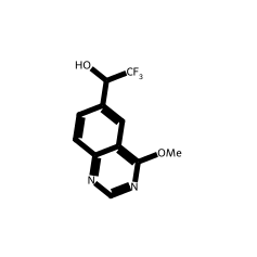 COc1ncnc2ccc(C(O)C(F)(F)F)cc12